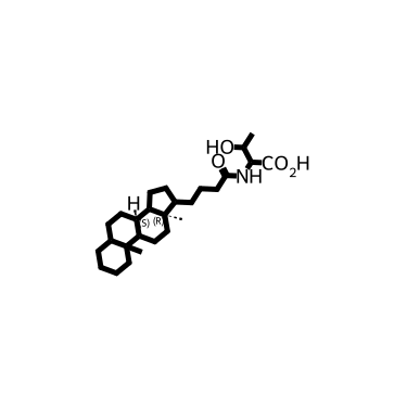 CC(O)C(NC(=O)CCCC1CCC2[C@@H]3CCC4CCCCC4(C)C3CC[C@]12C)C(=O)O